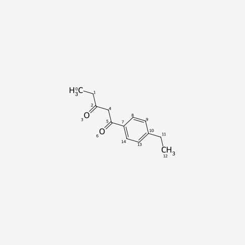 CCC(=O)CC(=O)c1ccc(CC)cc1